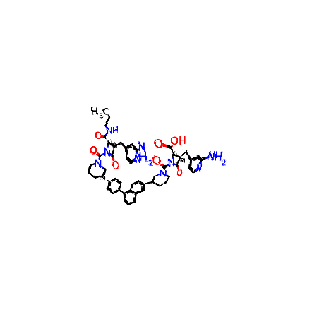 CCCNC(=O)[C@@H]1[C@@H](Cc2ccnc(N)c2)C(=O)N1C(=O)N1CCC[C@@H](c2ccc(-c3cccc4cc(C5CCCN(C(=O)N6C(=O)[C@H](Cc7ccnc(N)c7)[C@H]6C(=O)O)C5)ccc34)cc2)C1